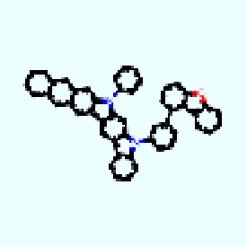 c1ccc(-n2c3cc4cc5ccccc5cc4cc3c3cc4c5ccccc5n(-c5cccc(-c6cccc7oc8ccccc8c67)c5)c4cc32)cc1